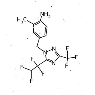 Cc1cc(Cn2nc(C(F)(F)F)nc2C(F)(F)C(F)F)ccc1N